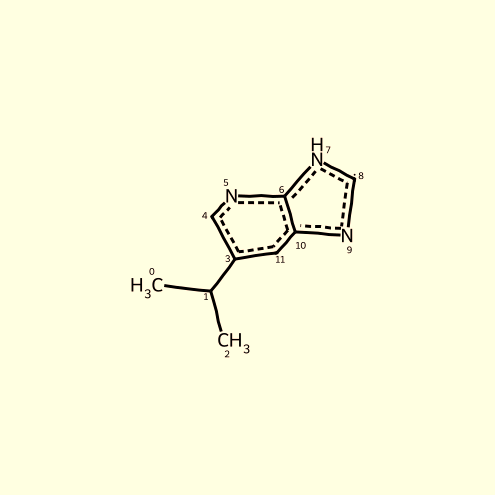 CC(C)c1cnc2[nH][c]nc2c1